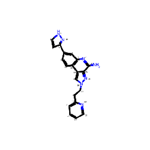 Nc1nc2cc(-c3cc[nH]n3)ccc2c2cn(CCc3ccccn3)nc12